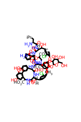 CC(C)C[C@@H](N)C(=O)N[C@@H]1C(=O)NC(CC(N)=O)C(=O)NC2C(=O)NC3C(=O)N[C@H](C(=O)NC(C(=O)O)c4cc(O)cc(O)c4-c4cc3ccc4O)[C@H](O)c3ccc(c(Cl)c3)Oc3cc2cc(c3OC2OC(CO)C(O)C(O)C2OC2CC(C)(NCC(OCc3ccccc3)C(=O)O)C(O)C(C)O2)Oc2ccc(cc2Cl)C1O